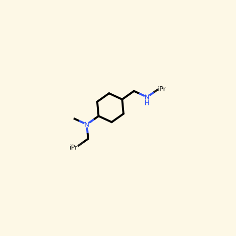 CC(C)CN(C)C1CCC(CNC(C)C)CC1